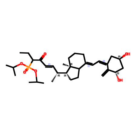 C=C1/C(=C\C=C2/CCC[C@@]3(C)C2CC[C@@H]3[C@H](C)/C=C/C(=O)C(CC)P(=O)(OC(C)C)OC(C)C)C[C@@H](O)C[C@@H]1O